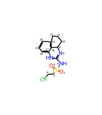 O=S(=O)(CCCl)NC1=NC2CCCc3cccc(c32)N1